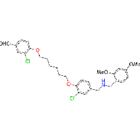 COc1ccc(CNCc2ccc(OCCCCCCOc3ccc(C=O)cc3Cl)c(Cl)c2)c(OC)c1